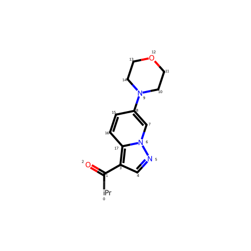 CC(C)C(=O)c1cnn2cc(N3CCOCC3)ccc12